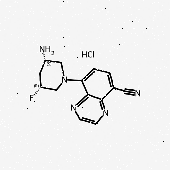 Cl.N#Cc1ccc(N2C[C@@H](N)C[C@@H](F)C2)c2nccnc12